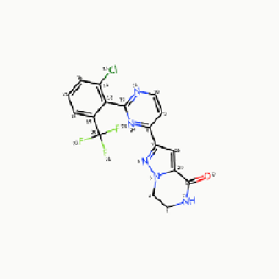 O=C1NCCn2nc(-c3ccnc(-c4c(Cl)cccc4C(F)(F)F)n3)cc21